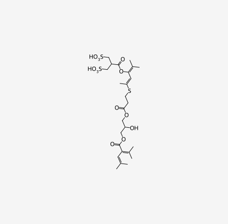 CC(C)=CC(C(=O)OCC(O)COC(=O)CCS/C(C)=C/C(OC(=O)C(CS(=O)(=O)O)CS(=O)(=O)O)=C(C)C)=C(C)C